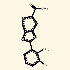 COC(=O)c1cc2nc(-c3cccc(Br)c3C)oc2cn1